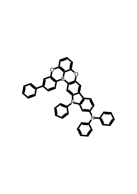 c1ccc(-c2ccc3c(c2)Oc2cccc4c2B3c2cc3c(cc2O4)c2ccc(N(c4ccccc4)c4ccccc4)cc2n3-c2ccccc2)cc1